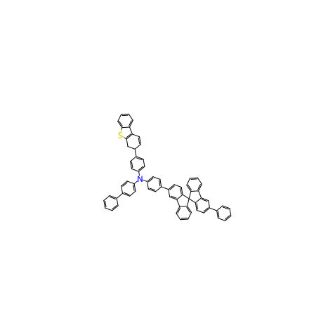 C1=CC(c2ccc(N(c3ccc(-c4ccccc4)cc3)c3ccc(-c4ccc5c(c4)-c4ccccc4C54c5ccccc5-c5cc(-c6ccccc6)ccc54)cc3)cc2)Cc2sc3ccccc3c21